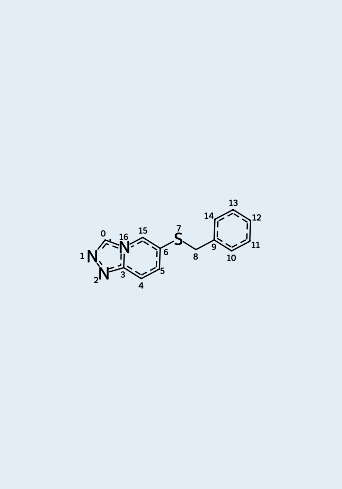 [c]1nnc2ccc(SCc3ccccc3)cn12